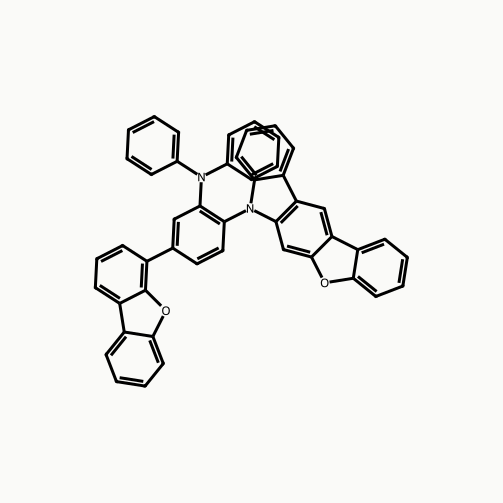 c1ccc(N(c2ccccc2)c2cc(-c3cccc4c3oc3ccccc34)ccc2-n2c3ccccc3c3cc4c(cc32)oc2ccccc24)cc1